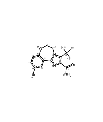 NC(=O)c1nc2n(c1C(F)(F)F)CCOc1ccc(Br)cc1-2